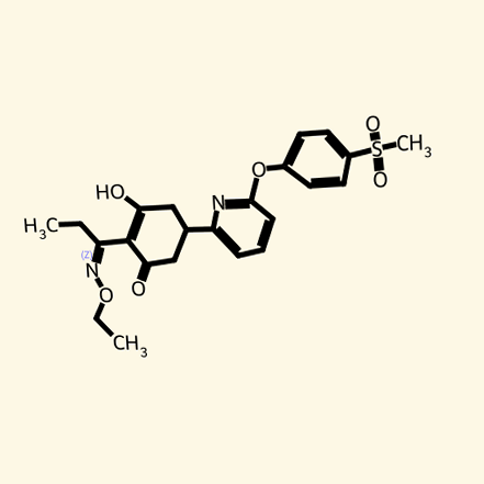 CCO/N=C(/CC)C1=C(O)CC(c2cccc(Oc3ccc(S(C)(=O)=O)cc3)n2)CC1=O